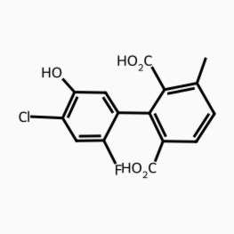 Cc1ccc(C(=O)O)c(-c2cc(O)c(Cl)cc2F)c1C(=O)O